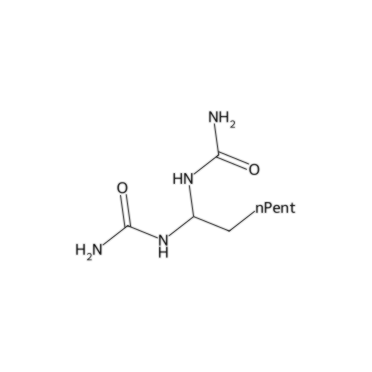 CCCCCCC(NC(N)=O)NC(N)=O